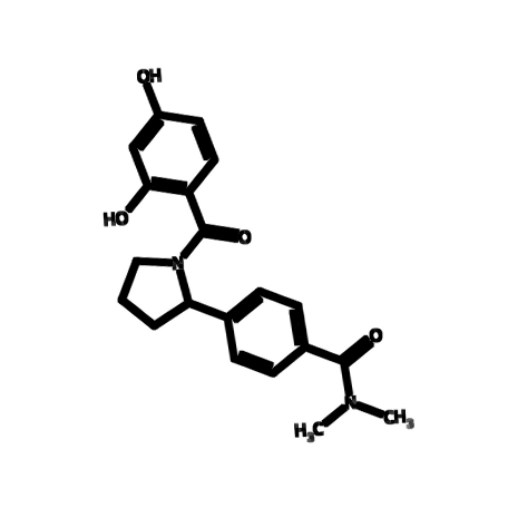 CN(C)C(=O)c1ccc(C2CCCN2C(=O)c2ccc(O)cc2O)cc1